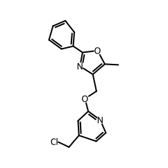 Cc1oc(-c2ccccc2)nc1COc1cc(CCl)ccn1